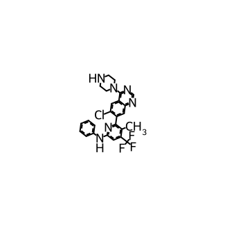 Cc1c(C(F)(F)F)cc(Nc2ccccc2)nc1-c1cc2ncnc(N3CCNCC3)c2cc1Cl